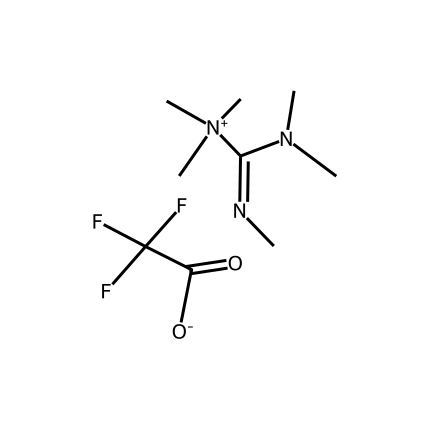 C/N=C(\N(C)C)[N+](C)(C)C.O=C([O-])C(F)(F)F